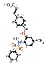 CCN(c1ccc(C(F)(F)F)cc1OCc1ccc(C=CC(=O)O)cc1)S(=O)(=O)c1ccccc1